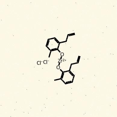 C=CCc1cccc(C)c1[O][Zr+2][O]c1c(C)cccc1CC=C.[Cl-].[Cl-]